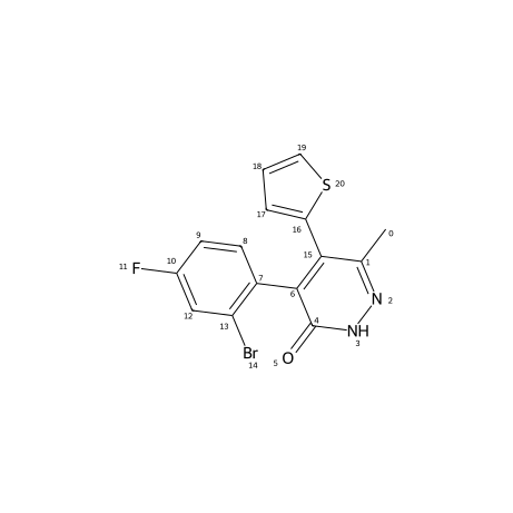 Cc1n[nH]c(=O)c(-c2ccc(F)cc2Br)c1-c1cccs1